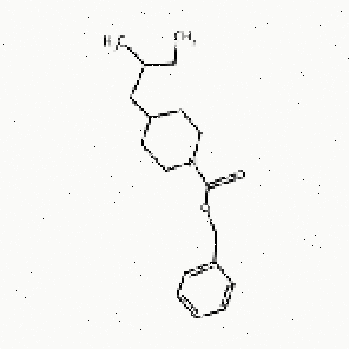 CCC(C)CC1CCN(C(=O)OCc2ccccc2)CC1